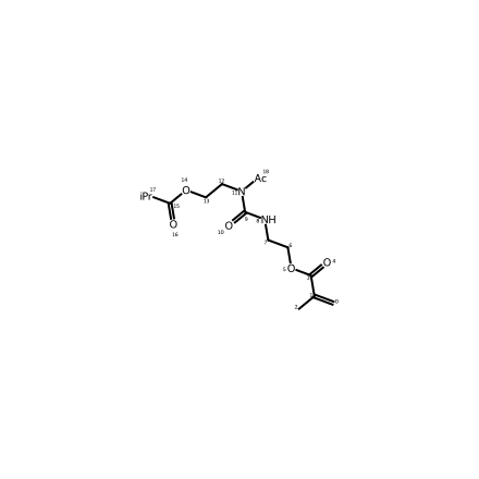 C=C(C)C(=O)OCCNC(=O)N(CCOC(=O)C(C)C)C(C)=O